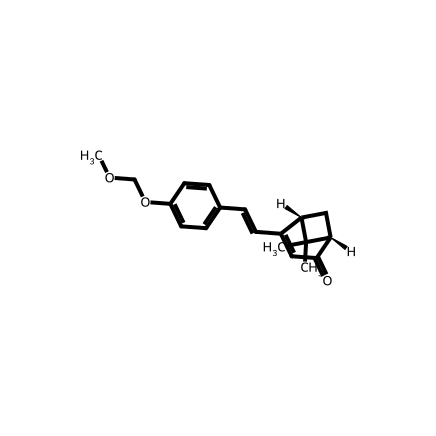 COCOc1ccc(C=CC2=CC(=O)[C@H]3C[C@@H]2C3(C)C)cc1